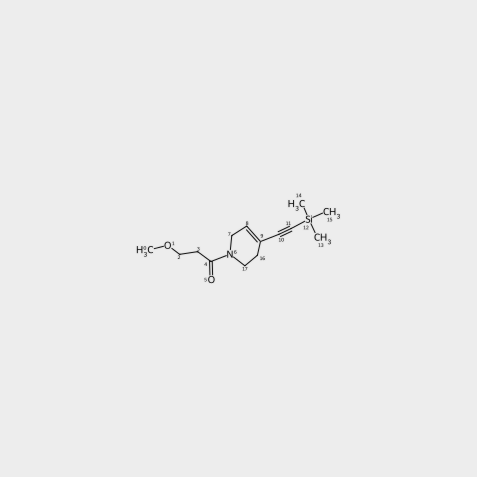 COCCC(=O)N1CC=C(C#C[Si](C)(C)C)CC1